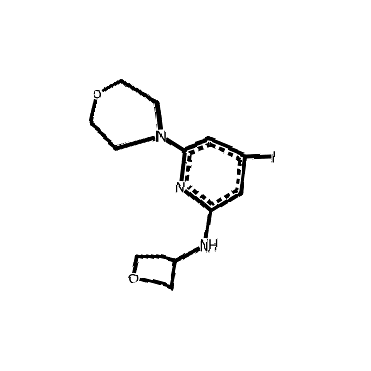 Ic1cc(NC2COC2)nc(N2CCOCC2)c1